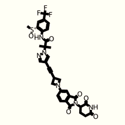 C[S+]([O-])c1cc(C(F)(F)F)ccc1NC(=O)C(C)(C)n1cc(C#CC2CN(c3ccc4c(c3)C(=O)N(C3CCC(=O)NC3=O)C4=O)C2)cn1